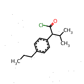 CCCc1ccc(C(C(=O)Cl)C(C)C)cc1